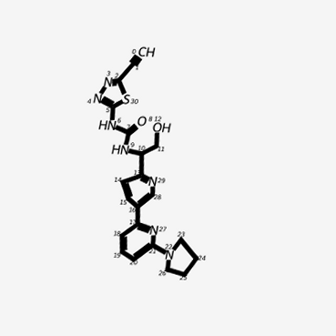 C#Cc1nnc(NC(=O)NC(CO)c2ccc(-c3cccc(N4CCCC4)n3)cn2)s1